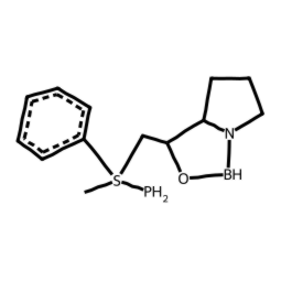 CS(P)(CC1OBN2CCCC12)c1ccccc1